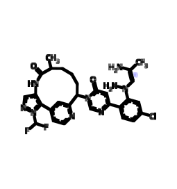 CC1CCCC(n2cnc(-c3ccc(Cl)cc3N(N)/C=C(\N)C(F)(F)F)cc2=O)c2cc(ccn2)-c2c(cnn2C(F)F)NC1=O